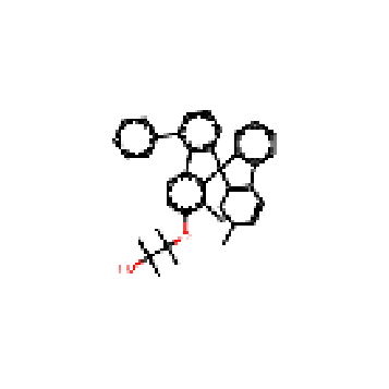 Bc1c(OC(C)(C)C(C)(C)O)ccc2c1C1(C3=C(C=CC(C)C3)c3ccccc31)c1cccc(-c3ccccc3)c1-2